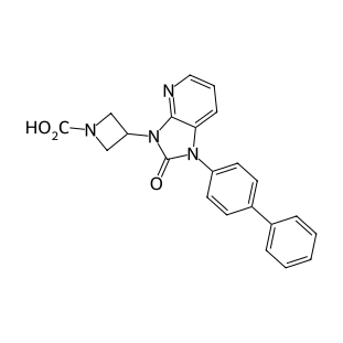 O=C(O)N1CC(n2c(=O)n(-c3ccc(-c4ccccc4)cc3)c3cccnc32)C1